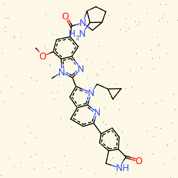 COc1cc(C(=O)N2CC3CCC2C3N)cc2nc(-c3cc4ccc(-c5ccc6c(c5)CNC6=O)nc4n3CC3CC3)n(C)c12